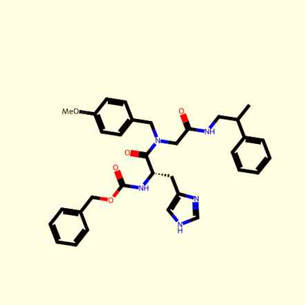 COc1ccc(CN(CC(=O)NCC(C)c2ccccc2)C(=O)[C@H](Cc2c[nH]cn2)NC(=O)OCc2ccccc2)cc1